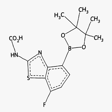 CC1(C)OB(c2ccc(F)c3sc(NC(=O)O)nc23)OC1(C)C